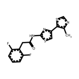 Cc1ncsc1-c1csc(NC(=O)Cc2c(F)cccc2F)n1